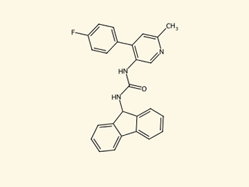 Cc1cc(-c2ccc(F)cc2)c(NC(=O)NC2c3ccccc3-c3ccccc32)cn1